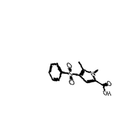 Cc1c(S(=O)(=O)c2ccccc2)cc(C(=O)O)n1C